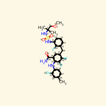 COCC(C)(C)NS(=O)(=O)Nc1cccc(Cc2cc(C(N)=O)c(Nc3ccc(C)cc3F)c(F)c2F)c1F